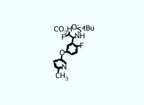 Cc1ccc(Oc2ccc(F)c(C(N[S@+]([O-])C(C)(C)C)C(F)C(=O)O)c2)cn1